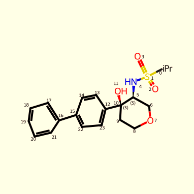 CC(C)S(=O)(=O)N[C@H]1COCC[C@]1(O)c1ccc(-c2ccccc2)cc1